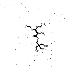 CCOC(OCC)=C(C)C(=O)OCC(CO)(CO)CO